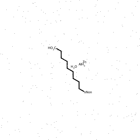 CCCCCCCCCCCCCCCCCC(=O)O.O.[AlH3].[Zn]